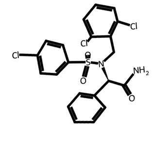 NC(=O)[C@@H](c1ccccc1)N(Cc1c(Cl)cccc1Cl)S(=O)(=O)c1ccc(Cl)cc1